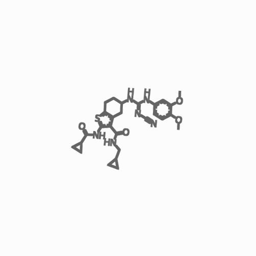 COc1ccc(NC(=NC#N)NC2CCc3sc(NC(=O)C4CC4)c(C(=O)NCC4CC4)c3C2)cc1OC